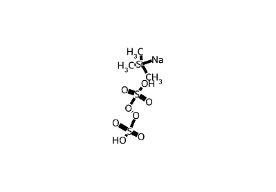 C[Si](C)(C)[Na].O=S(=O)(O)OOS(=O)(=O)O